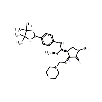 C=N/C(Nc1ccc(B2OC(C)(C)C(C)(C)O2)cc1)=C1/CN(C(C)CC)C(=O)/C1=N/CN1CCOCC1